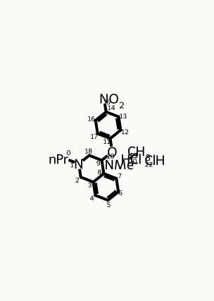 CCCN1Cc2ccccc2C(Oc2ccc([N+](=O)[O-])cc2)C1.CNC.Cl.Cl